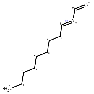 [CH2]CCCCCCC/[C]=N/C=O